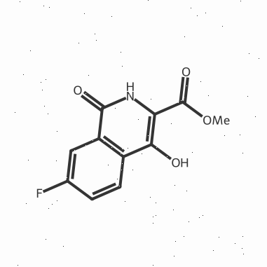 COC(=O)c1[nH]c(=O)c2cc(F)ccc2c1O